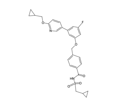 O=C(NS(=O)(=O)CC1CC1)c1ccc(COc2cc(F)cc(-c3ccc(OCC4CC4)nc3)c2)cc1